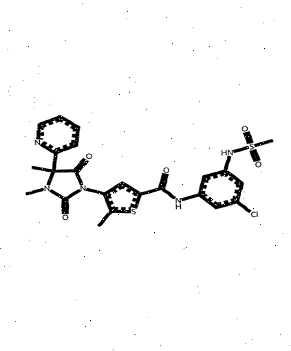 Cc1sc(C(=O)Nc2cc(Cl)cc(NS(C)(=O)=O)c2)cc1N1C(=O)N(C)C(C)(c2ccccn2)C1=O